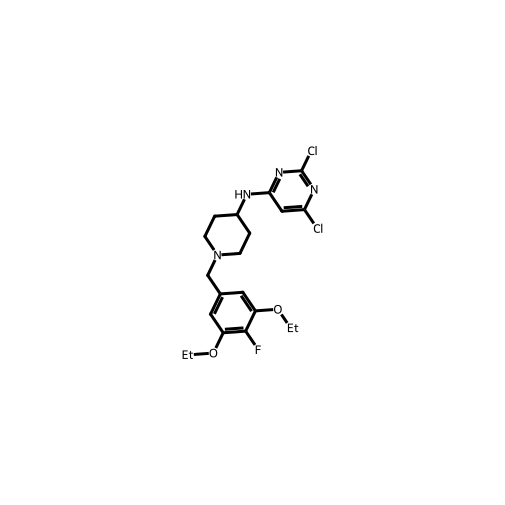 CCOc1cc(CN2CCC(Nc3cc(Cl)nc(Cl)n3)CC2)cc(OCC)c1F